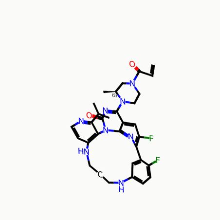 C=CC(=O)N1CCN(c2nc(=O)n3c4nc(c(F)cc24)-c2cc(ccc2F)NCCCNc2ccnc(C(C)C)c2-3)[C@@H](C)C1